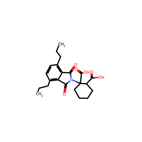 CCCc1ccc(CCC)c2c1C(=O)N(C1(C(=O)O)CCCCC1C(=O)O)C2=O